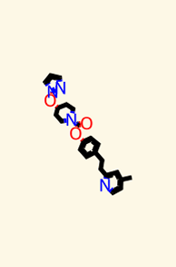 Cc1ccnc(CCc2ccc(OC(=O)N3CCC(On4cccn4)CC3)cc2)c1